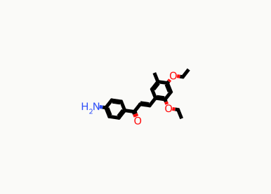 CCOc1cc(OCC)c(C=CC(=O)c2ccc(N)cc2)cc1C